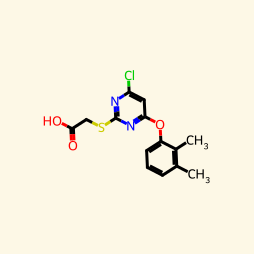 Cc1cccc(Oc2cc(Cl)nc(SCC(=O)O)n2)c1C